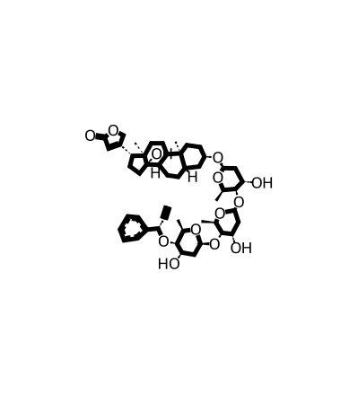 C#C[C@H](O[C@H]1[C@@H](O)C[C@H](O[C@H]2[C@@H](O)C[C@H](O[C@H]3[C@@H](O)C[C@H](O[C@H]4CC[C@]5(C)C6CC[C@]7(C)[C@@H](C8=CC(=O)OC8)CC[C@]7(O)[C@@H]6CC[C@@H]5C4)O[C@@H]3C)O[C@@H]2C)O[C@@H]1C)c1ccccc1